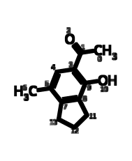 CC(=O)c1cc(C)c2c(c1O)CCC2